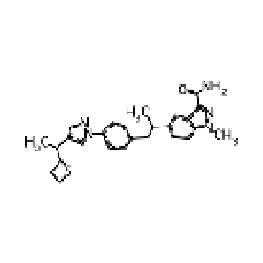 CC(Cc1ccc(-n2cc(C(C)C3CCS3)cn2)cc1)c1ccc2c(c1)c(C(N)=O)nn2C